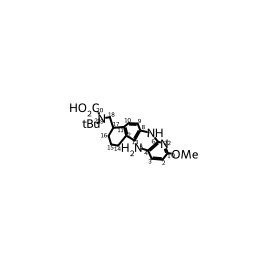 COc1ccc(N)c(Nc2ccc3c(c2)CCCC3CN(C(=O)O)C(C)(C)C)n1